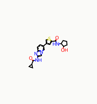 O=C(NC1CCCC1O)c1cc(-c2ccc3nc(NC(=O)C4CC4)cn3c2)cs1